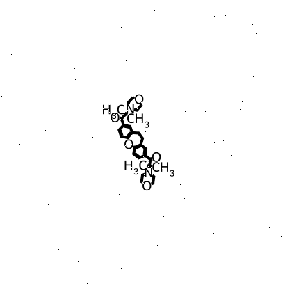 CC(C)(C(=O)c1ccc2c(c1)CCc1cc(C(=O)C(C)(C)N3CCOCC3)ccc1O2)N1CCOCC1